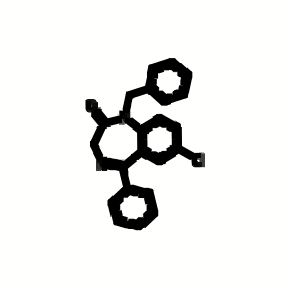 O=C1CN=C(c2ccccc2)c2cc(Cl)ccc2N1Cc1ccccc1